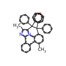 Cc1nc2c3ccccc3c3c(C)ccc4c3n2c1C(c1ccccc1)(c1ccccc1)C4(c1ccccc1)c1ccccc1